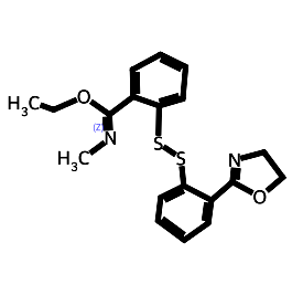 CCO/C(=N\C)c1ccccc1SSc1ccccc1C1=NCCO1